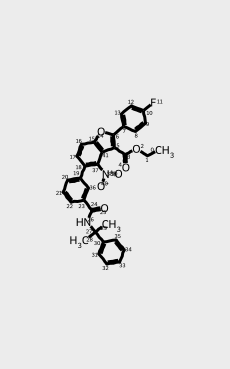 CCOC(=O)c1c(-c2ccc(F)cc2)oc2ccc(-c3cccc(C(=O)NC(C)(C)c4ccccc4)c3)c([N+](=O)[O-])c12